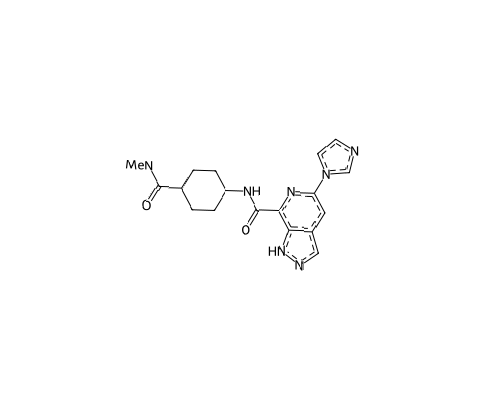 CNC(=O)C1CCC(NC(=O)c2nc(-n3ccnc3)cc3cn[nH]c23)CC1